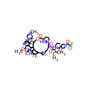 CCn1c(-c2cc(N3CCN(C)CC3)cnc2C(C)OC)c2c3cc(c(F)cc31)-c1csc(n1)C[C@H](NC(=O)[C@H](C(C)C)N1CCC[C@]3(CCN(C(=O)[C@@H](F)Cl)C3)C1=O)C(=O)N1CCCC(N1)C(=O)OCC(C)(C)C2